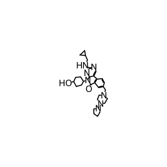 O=c1c2cc(CN3CCN(N4CCCC4)CC3)ccc2c2cnc(NCC3CC3)nc2n1C1CCC(O)CC1